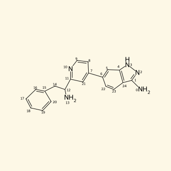 Nc1n[nH]c2cc(-c3ccnc(C(N)Cc4ccccc4)c3)ccc12